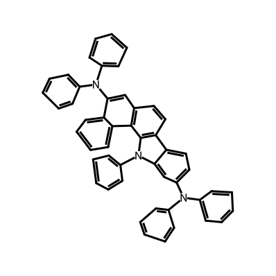 c1ccc(N(c2ccccc2)c2ccc3c4ccc5cc(N(c6ccccc6)c6ccccc6)c6ccccc6c5c4n(-c4ccccc4)c3c2)cc1